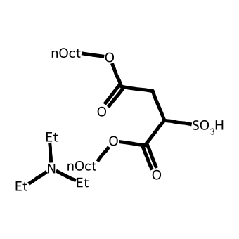 CCCCCCCCOC(=O)CC(C(=O)OCCCCCCCC)S(=O)(=O)O.CCN(CC)CC